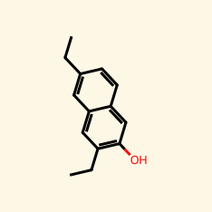 CCc1ccc2cc(O)c(CC)cc2c1